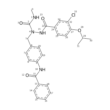 CNC(=O)N(Cc1ccc(NC(=O)c2ccccc2)cc1)NC(=O)c1ccc(OC(C)C)c(Cl)c1